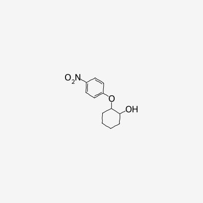 O=[N+]([O-])c1ccc(OC2CCCCC2O)cc1